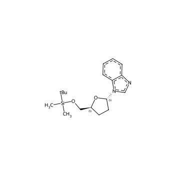 CC(C)(C)[Si](C)(C)OC[C@@H]1CC[C@@H](n2cnc3ccccc32)O1